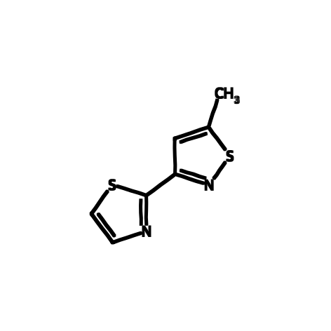 Cc1cc(-c2nccs2)ns1